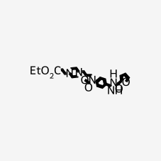 CCOC(=O)CCN1CCN(CC2CN(c3ccc(C(=N)NC(=O)c4ccco4)cc3)C(=O)O2)CC1